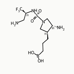 NC[C@H](NS(=O)(=O)N1C[C@H](CCCB(O)O)[C@@H](N)C1)C(F)(F)F